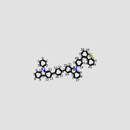 c1ccc(-n2c3ccccc3c3ccc(-c4ccc(-c5ccc6c(c5)c5ccccc5n6-c5ccc(-c6cccc7sc8ccccc8c67)cc5)cc4)cc32)cc1